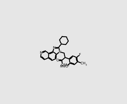 COC(=O)C(Cn1c(C2CCCCC2)nc2c3cnccc3ccc21)c1cc(F)c(C)cc1OC